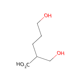 O=C(O)C(CO)CCCO